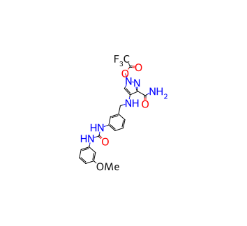 COc1cccc(NC(=O)Nc2cccc(CNc3cn(OC(=O)C(F)(F)F)nc3C(N)=O)c2)c1